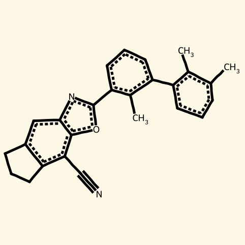 Cc1cccc(-c2cccc(-c3nc4cc5c(c(C#N)c4o3)CCC5)c2C)c1C